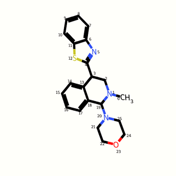 CN1CC(c2nc3ccccc3s2)c2ccccc2C1N1CCOCC1